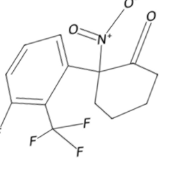 O=C1CCCCC1(c1cccc(F)c1C(F)(F)F)[N+](=O)[O-]